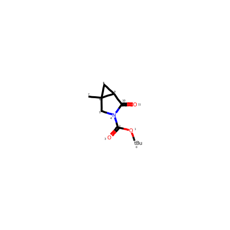 CC(C)(C)OC(=O)N1CC2(C)CC2C1=O